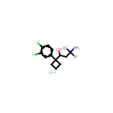 CCC(N)(CC)CC(O)C1(c2ccc(Cl)c(Cl)c2)CCC1.Cl